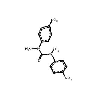 CN(C(=O)N(C)c1ccc([N+](=O)[O-])cc1)c1ccc([N+](=O)[O-])cc1